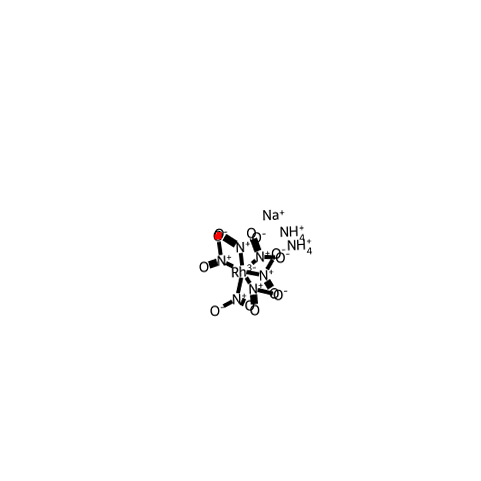 O=[N+]([O-])[Rh-3]([N+](=O)[O-])([N+](=O)[O-])([N+](=O)[O-])([N+](=O)[O-])[N+](=O)[O-].[NH4+].[NH4+].[Na+]